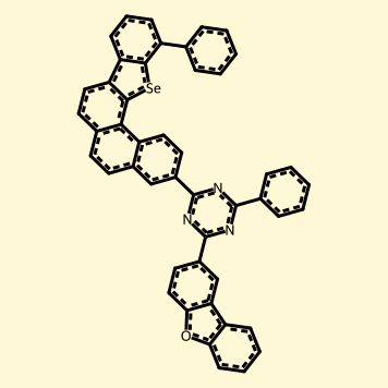 c1ccc(-c2nc(-c3ccc4c(ccc5ccc6c7cccc(-c8ccccc8)c7[se]c6c54)c3)nc(-c3ccc4oc5ccccc5c4c3)n2)cc1